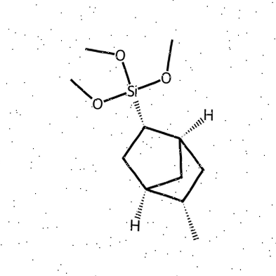 CO[Si](OC)(OC)[C@H]1C[C@H]2C[C@@H]1C[C@@H]2C